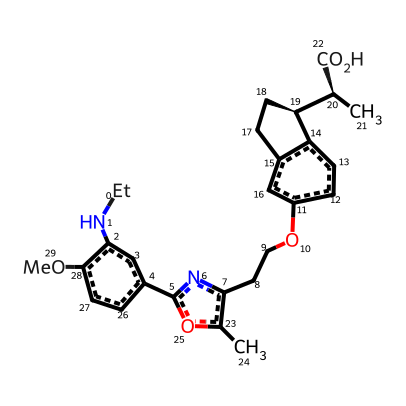 CCNc1cc(-c2nc(CCOc3ccc4c(c3)CC[C@H]4[C@H](C)C(=O)O)c(C)o2)ccc1OC